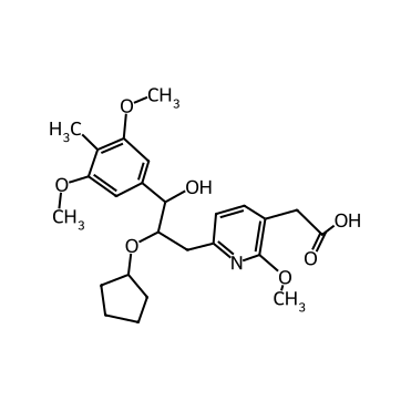 COc1cc(C(O)C(Cc2ccc(CC(=O)O)c(OC)n2)OC2CCCC2)cc(OC)c1C